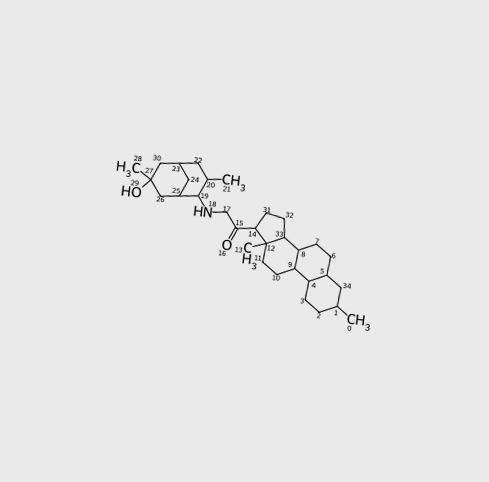 CC1CCC2C(CCC3C2CCC2(C)C(C(=O)CNC4C(C)CC5CC4CC(C)(O)C5)CCC32)C1